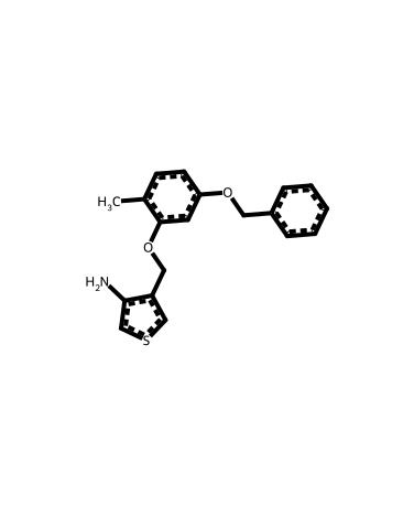 Cc1ccc(OCc2ccccc2)cc1OCc1cscc1N